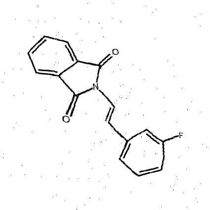 O=C1c2ccccc2C(=O)N1C=Cc1cccc(F)c1